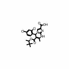 CC1=C(C(=O)OC(C)C(C)(C)C)C(c2ccc(Cl)cc2Cl)n2cc(C(=O)O)nc2N1